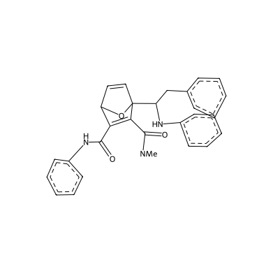 CNC(=O)C1=C(C(=O)Nc2ccccc2)C2C=CC1(C(Cc1ccccc1)Nc1ccccc1)O2